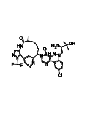 CC1CCCC(n2cnc(-c3cc(Cl)ccc3N(N)/C=C(\N)C(C)(C)O)cc2=O)c2cc(ccn2)-c2c(cnn2C(F)F)NC1=O